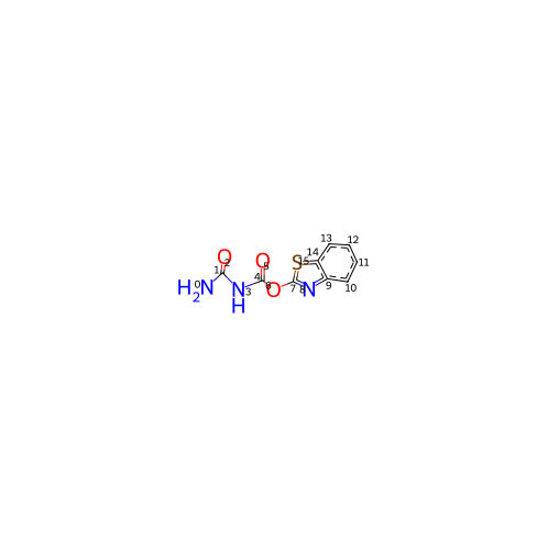 NC(=O)NC(=O)Oc1nc2ccccc2s1